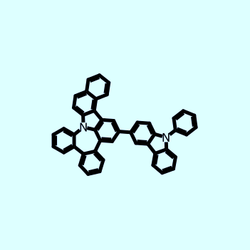 c1ccc(-n2c3ccccc3c3cc(-c4cc5c6c(c4)c4c7ccccc7ccc4n6-c4ccccc4-c4ccccc4-5)ccc32)cc1